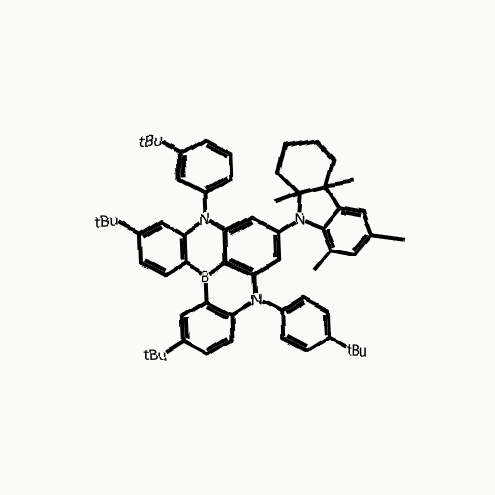 Cc1cc(C)c2c(c1)C1(C)CCCCC1(C)N2c1cc2c3c(c1)N(c1cccc(C(C)(C)C)c1)c1cc(C(C)(C)C)ccc1B3c1cc(C(C)(C)C)ccc1N2c1ccc(C(C)(C)C)cc1